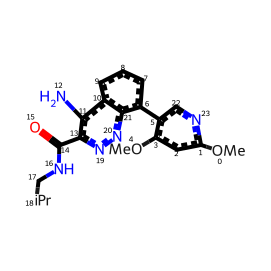 COc1cc(OC)c(-c2cccc3c(N)c(C(=O)NCC(C)C)nnc23)cn1